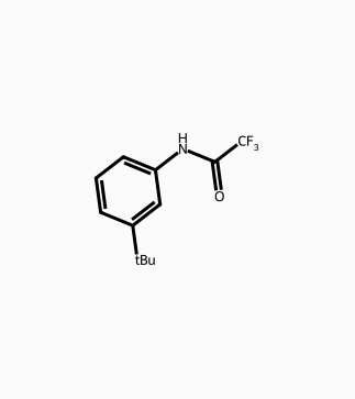 CC(C)(C)c1cccc(NC(=O)C(F)(F)F)c1